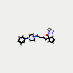 CNC(=O)C1(CCCCN2CCN(c3cccc(Cl)c3)CC2)CC=CC1